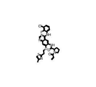 C=CC(=O)N1CCCC1C(=O)Nc1cc2c(Nc3cccc(Cl)c3F)ncnc2cc1OCCc1nc(C)cs1